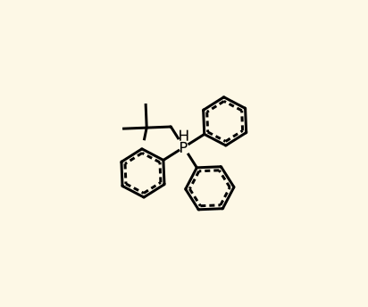 CC(C)(C)C[PH](c1ccccc1)(c1ccccc1)c1ccccc1